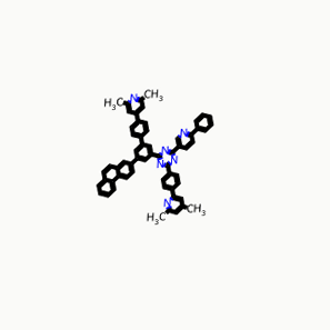 Cc1cc(C)nc(-c2ccc(-c3nc(-c4ccc(-c5ccccc5)nc4)nc(-c4cc(-c5ccc(-c6cc(C)nc(C)c6)cc5)cc(-c5ccc6c(ccc7ccccc76)c5)c4)n3)cc2)c1